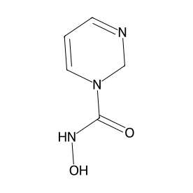 O=C(NO)N1C=CC=NC1